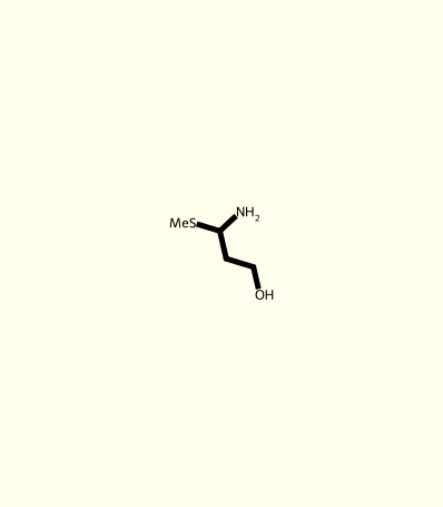 CSC(N)CCO